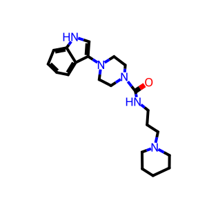 O=C(NCCCN1CCCCC1)N1CCN(c2c[nH]c3ccccc23)CC1